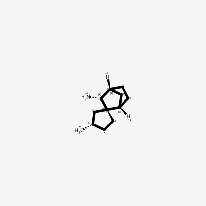 C[C@H]1CC[C@]2(C1)[C@H]1CC[C@H](C1)[C@H]2N